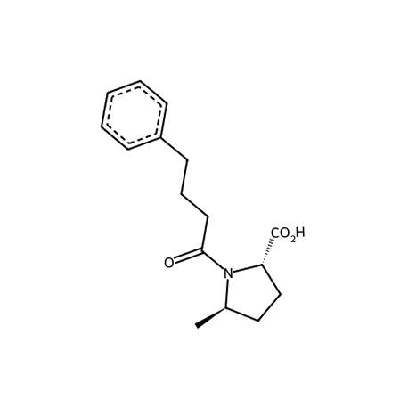 C[C@@H]1CC[C@@H](C(=O)O)N1C(=O)CCCc1ccccc1